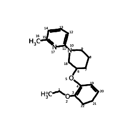 CCOC1=C(OC2CCCN(c3cccc(C)n3)C2)C=CCC1